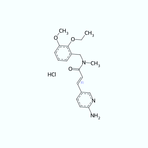 CCOc1c(CN(C)C(=O)/C=C/c2ccc(N)nc2)cccc1OC.Cl